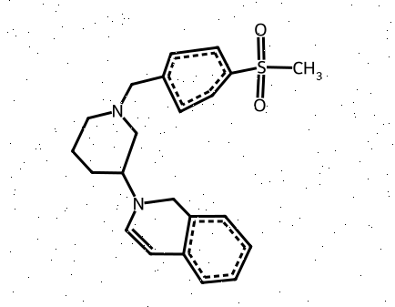 CS(=O)(=O)c1ccc(CN2CCCC(N3C=Cc4ccccc4C3)C2)cc1